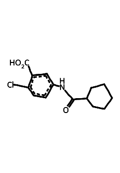 O=C(O)c1cc(NC(=O)C2CCCCC2)ccc1Cl